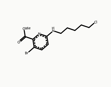 COC(=O)c1nc(NCCCCCCl)ccc1Br